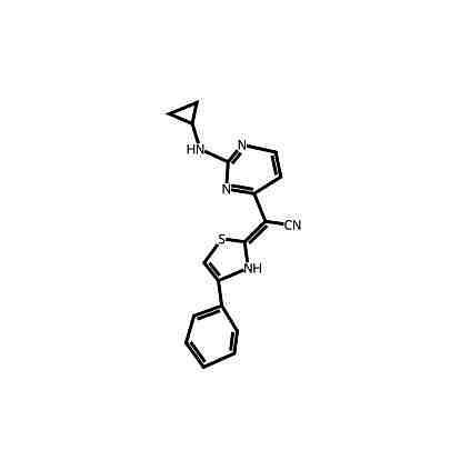 N#CC(=C1NC(c2ccccc2)=CS1)c1ccnc(NC2CC2)n1